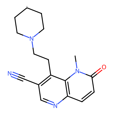 Cn1c(=O)ccc2ncc(C#N)c(CCN3CC[CH]CC3)c21